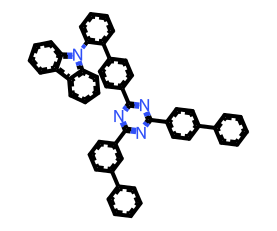 c1ccc(-c2ccc(-c3nc(-c4ccc(-c5ccccc5-n5c6ccccc6c6ccccc65)cc4)nc(-c4cccc(-c5ccccc5)c4)n3)cc2)cc1